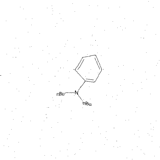 CCCCN(CCCC)c1[c]cc[c]c1